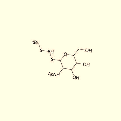 CC(=O)NC1C(SBSC(C)(C)C)OC(CO)C(O)C1O